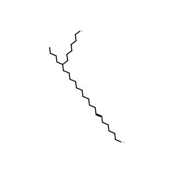 [CH2]CCCCCC=CCCCCCCCCCCC(CCCC)CCCCCC[CH2]